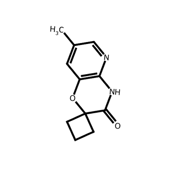 Cc1cnc2c(c1)OC1(CCC1)C(=O)N2